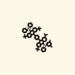 Cc1cc(C)cc(N(c2ccccc2)c2c3ccc(C(C)C)cc3c(-c3ccc(-c4c5cc(C(C)(C)C)ccc5c(N(c5ccccc5)c5ccccc5)c5cc(C(C)(C)C)ccc45)cc3)c3ccc(C(C)(C)C)cc23)c1